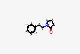 O=C1C[CH]CN1CCc1ccccc1